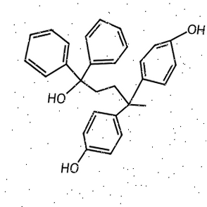 CC(CCC(O)(c1ccccc1)c1ccccc1)(c1ccc(O)cc1)c1ccc(O)cc1